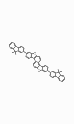 CC1(C)c2ccccc2-c2ccc(-c3ccc4c(c3)oc3ccc5c(ccc6oc7cc(-c8ccc9c(c8)C(C)(C)c8ccccc8-9)ccc7c65)c34)cc21